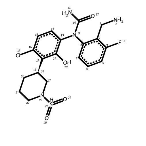 NCc1c(F)cccc1N(C(N)=O)c1ccc(Cl)c([C@@H]2CCCN([SH](=O)=O)C2)c1O